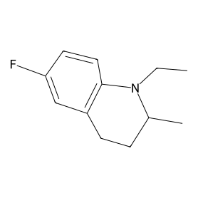 CCN1c2ccc(F)cc2CCC1C